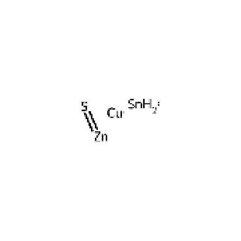 [Cu].[S]=[Zn].[SnH2]